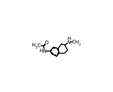 CNC1CCc2ccc(NC(C)=O)cc2C1